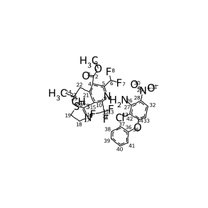 COC(=O)c1c(C(F)F)nc(C(F)(F)F)c(C2=NCCS2)c1CC(C)C.Nc1c([N+](=O)[O-])ccc(Oc2ccccc2)c1Cl